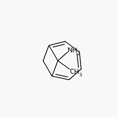 CC1(N)C2=CC=CC=C1C2